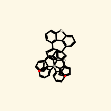 c1ccc2c(c1)Oc1cc(-c3cccc4oc5cccc(-c6cc7c8c(c6)Oc6ccccc6N8c6ccccc6O7)c5c34)cc3c1B2c1ccccc1O3